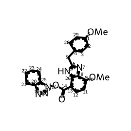 COc1ccc(Cc2nc3c(OC)ccc(C(=O)On4nnc5ccccc54)c3[nH]2)cc1